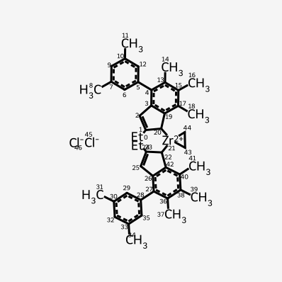 CCC1=Cc2c(-c3cc(C)cc(C)c3)c(C)c(C)c(C)c2[CH]1[Zr+2]1([CH]2C(CC)=Cc3c(-c4cc(C)cc(C)c4)c(C)c(C)c(C)c32)[CH2][CH2]1.[Cl-].[Cl-]